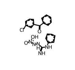 N=C(NN=[N+]([O-])O)Nc1ccccc1.O=C(c1ccccc1)c1cccc(Cl)c1